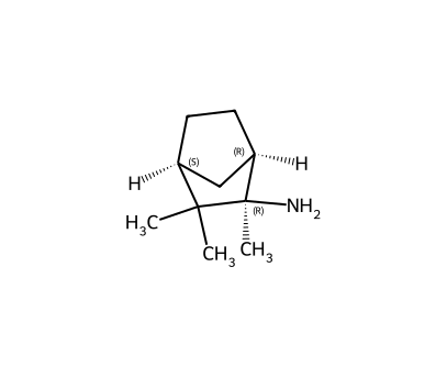 CC1(C)[C@H]2CC[C@H](C2)[C@@]1(C)N